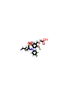 CCCC[C@@]1(CC)CN(c2ccc(F)cc2)c2cc(SC)c(CSCC(=O)O)cc2S(=O)(=O)C1